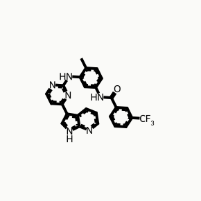 Cc1ccc(NC(=O)c2cccc(C(F)(F)F)c2)cc1Nc1nccc(-c2c[nH]c3ncccc23)n1